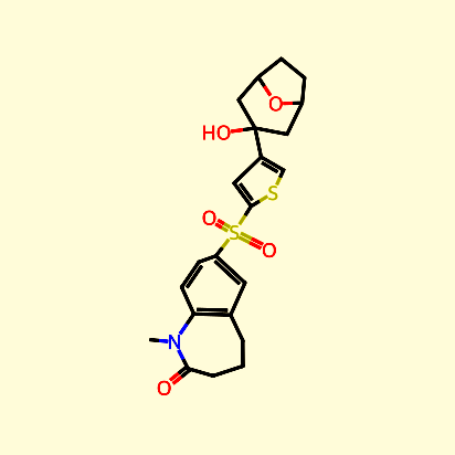 CN1C(=O)CCCc2cc(S(=O)(=O)c3cc(C4(O)CC5CCC(C4)O5)cs3)ccc21